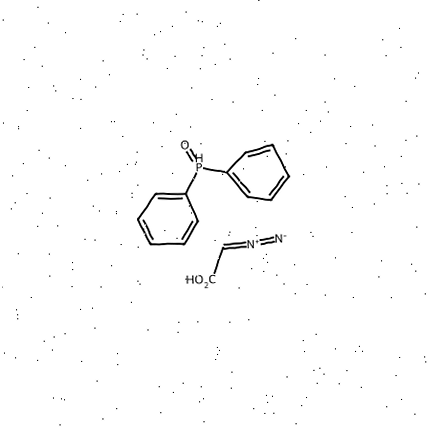 O=[PH](c1ccccc1)c1ccccc1.[N-]=[N+]=CC(=O)O